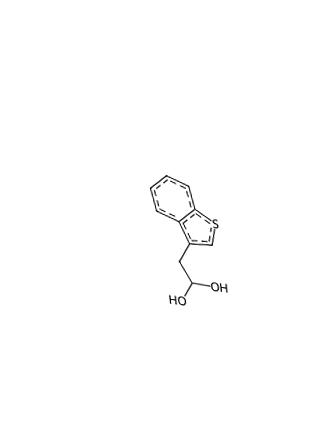 OC(O)Cc1csc2ccccc12